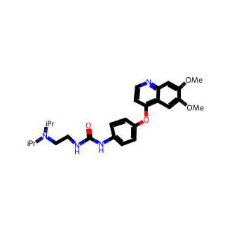 COc1cc2nccc(Oc3ccc(NC(=O)NCCN(C(C)C)C(C)C)cc3)c2cc1OC